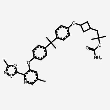 Cc1nnc(-c2ncc(F)cc2Oc2ccc(C(C)(C)c3ccc(OC4CC(CC(C)(C)OC(N)=O)C4)cc3)cc2)o1